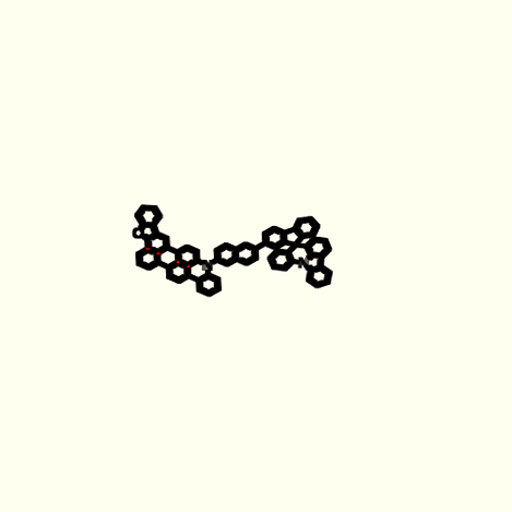 c1ccc(-c2ccc(-c3ccccc3N(c3ccc(-c4ccc5oc6ccccc6c5c4)cc3)c3ccc4cc(-c5ccc6c(c5)C5(c7ccccc7-6)c6ccccc6-n6c7ccccc7c7cccc5c76)ccc4c3)cc2)cc1